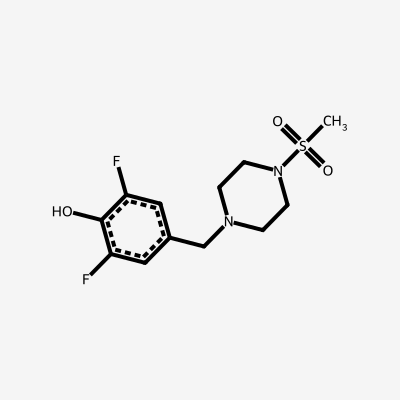 CS(=O)(=O)N1CCN(Cc2cc(F)c(O)c(F)c2)CC1